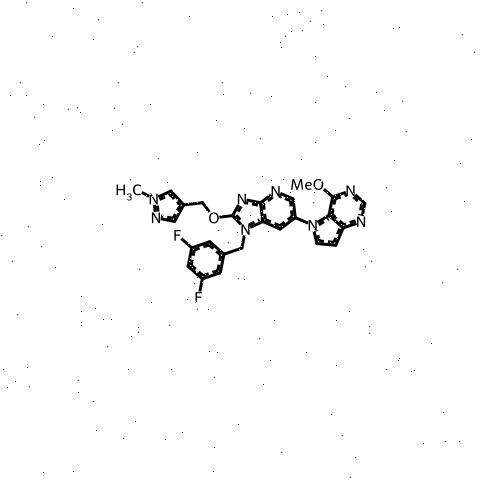 COc1ncnc2ccn(-c3cnc4nc(OCc5cnn(C)c5)n(Cc5cc(F)cc(F)c5)c4c3)c12